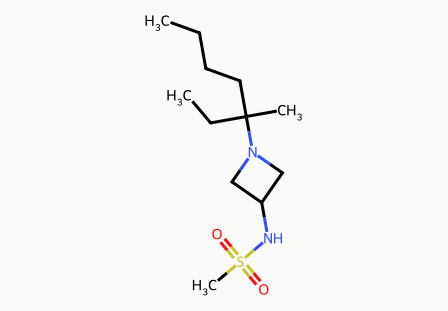 CCCCC(C)(CC)N1CC(NS(C)(=O)=O)C1